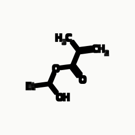 C=C(C)C(=O)OC(O)CC